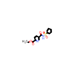 CCOC(=O)c1ccc(C(=O)NS(=O)(=O)c2ccccc2)cn1